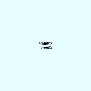 [O]=[BiH].[O]=[Zn]